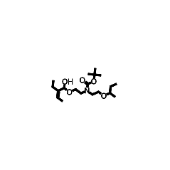 C/C=C(/CC)C(O)OCCN(CCOC(C)CC)C(=O)OC(C)(C)C